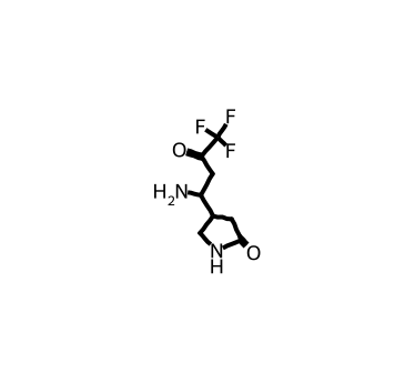 NC(CC(=O)C(F)(F)F)C1CNC(=O)C1